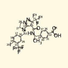 C[C@H](NC(=O)c1c(C(F)(F)F)nn2c1N(Cc1ccc(I)c(C(F)(F)F)c1)CC2)c1ccc(C(=O)O)cc1